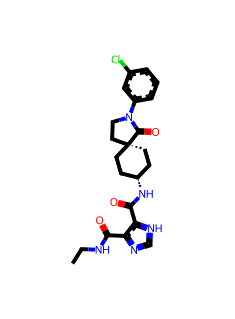 CCNC(=O)c1nc[nH]c1C(=O)N[C@H]1CC[C@@]2(CCN(c3cccc(Cl)c3)C2=O)CC1